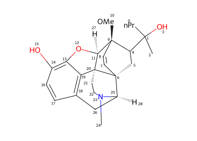 CCCC(C)(O)C1C[C@@]23C=C[C@]1(OC)[C@@H]1Oc4c(O)ccc5c4[C@@]12CCN(C)[C@@H]3C5